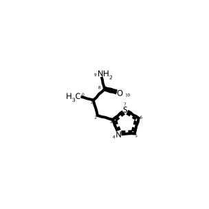 CC(Cc1nccs1)C(N)=O